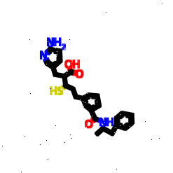 CC(Cc1ccccc1)NC(=O)c1cccc(CCC(S)C(Cc2ccc(N)nc2)C(=O)O)c1